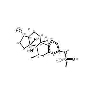 C[C@@H]1Cc2cc(OS(C)(=O)=O)ccc2[C@H]2CC[C@]3(C)[C@@H](O)CC[C@H]3[C@H]12